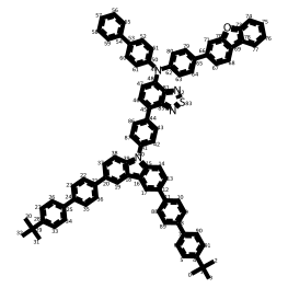 CC(C)(C)c1ccc(-c2ccc(-c3ccc4c(c3)c3cc(-c5ccc(-c6ccc(C(C)(C)C)cc6)cc5)ccc3n4-c3ccc(-c4ccc(N(c5ccc(-c6ccccc6)cc5)c5ccc(-c6ccc7c(c6)oc6ccccc67)cc5)c5nsnc45)cc3)cc2)cc1